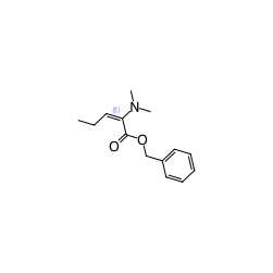 CC/C=C(\C(=O)OCc1ccccc1)N(C)C